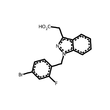 O=C(O)Cc1nn(Cc2ccc(Br)cc2F)c2ccccc12